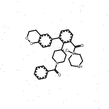 C[N+]1(C(=O)c2cccc(-c3ccc4c(c3)CCOO4)c2C2CCN(C(=O)c3ccccc3)CC2)CCNCC1